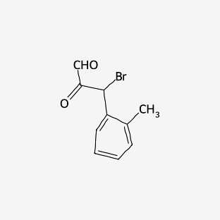 Cc1ccccc1C(Br)C(=O)C=O